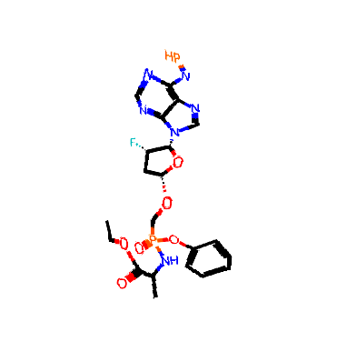 CCOC(=O)C(C)NP(=O)(CO[C@@H]1C[C@H](F)[C@H](n2cnc3c(N=P)ncnc32)O1)Oc1ccccc1